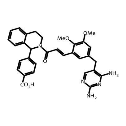 COc1cc(Cc2cnc(N)nc2N)cc(/C=C/C(=O)N2CCc3ccccc3C2c2ccc(C(=O)O)cc2)c1OC